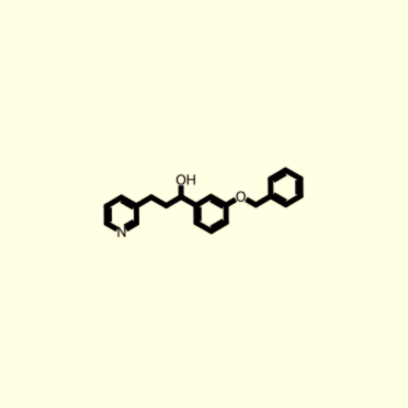 OC(CCc1cccnc1)c1cccc(OCc2ccccc2)c1